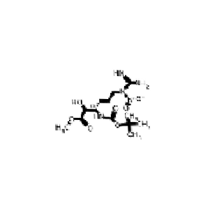 COC(=O)C(O)[C@H](CCCN(C(=N)N)[N+](=O)[O-])NC(=O)OC(C)(C)C